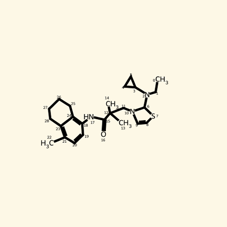 CCN(C1CC1)C1SC=CN1CC(C)(C)C(=O)Nc1ccc(C)c2c1CCCC2